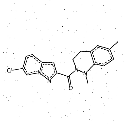 Cc1ccc2c(c1)CCN(C(=O)c1cc3ccc(Cl)cn3n1)N2C